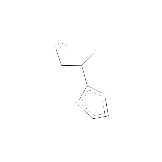 CSCC(C)c1nccs1